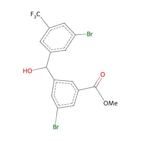 COC(=O)c1cc(Br)cc(C(O)c2cc(Br)cc(C(F)(F)F)c2)c1